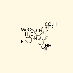 COCC(C)(C)c1c(C2CCC(F)(C(=O)O)CC2)c2c(F)c3[nH]ncc3cc2n1-c1ccc(F)cc1